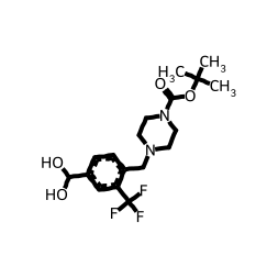 CC(C)(C)OC(=O)N1CCN(Cc2ccc(C(O)O)cc2C(F)(F)F)CC1